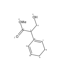 COC(=O)C(CO)C1=CCCC=C1